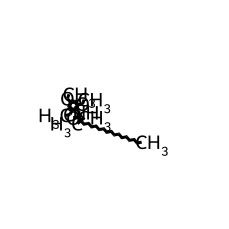 CCCCCCCCCCCCCCCCC(C)(C)C(=O)Nc1c(OC)cc(OC)cc1OC